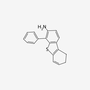 Nc1ccc2c3c(sc2c1-c1ccccc1)C=CCC3